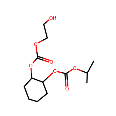 CC(C)OC(=O)OC1CCCCC1OC(=O)OCCO